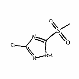 CS(=O)(=O)c1nc(Cl)n[nH]1